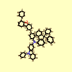 c1ccc(-c2cccc3c2oc2ccc(-c4ccc(N(c5ccc6c(c5)c5ccccc5n6-c5ccccc5)c5cccc6c5-c5ccccc5C6(c5ccccc5)c5ccccc5)cc4)cc23)cc1